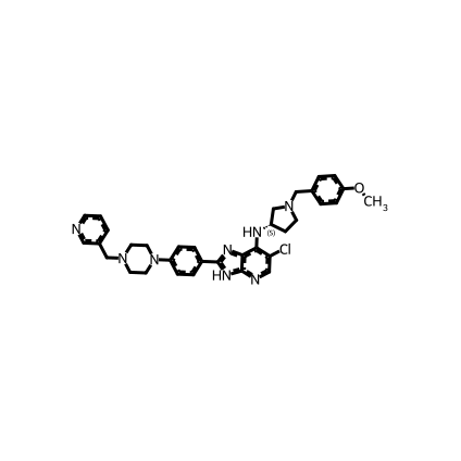 COc1ccc(CN2CC[C@H](Nc3c(Cl)cnc4[nH]c(-c5ccc(N6CCN(Cc7cccnc7)CC6)cc5)nc34)C2)cc1